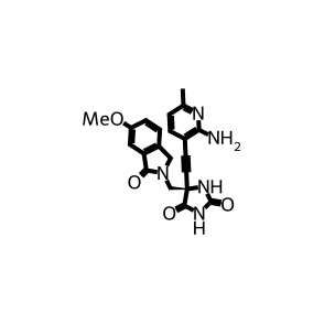 COc1ccc2c(c1)C(=O)N(C[C@@]1(C#Cc3ccc(C)nc3N)NC(=O)NC1=O)C2